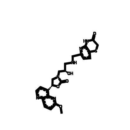 COc1ccc2nccc([C@@H]3CN(C[C@@H](O)CNCc4ccc5c(n4)NC(=O)CS5)C(=O)O3)c2n1